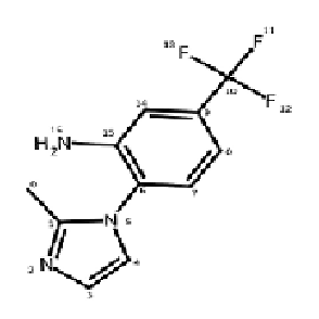 Cc1nccn1-c1ccc(C(F)(F)F)cc1N